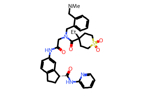 CCC1(C(=O)N(CC(=O)Nc2ccc3c(c2)[C@H](C(=O)Nc2ccccn2)CC3)Cc2ccccc2CNC)CCS(=O)(=O)CC1